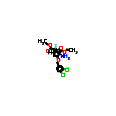 CCOC(=O)[C@@]1(N)[C@H]2[C@@H](C[C@H]1OCc1ccc(Cl)c(Cl)c1)[C@]2(F)C(=O)OCC